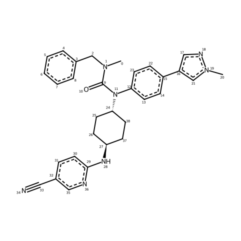 CN(Cc1ccccc1)C(=O)N(c1ccc(-c2cnn(C)c2)cc1)[C@H]1CC[C@H](Nc2ccc(C#N)cn2)CC1